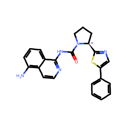 Nc1cccc2c(NC(=O)N3CCC[C@H]3c3ncc(-c4ccccc4)s3)nccc12